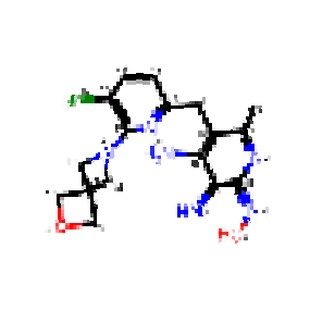 CC1=N/C(=N/O)C(=N)C(N)=C1Cc1ccc(Br)c(N2CC3(COC3)C2)n1